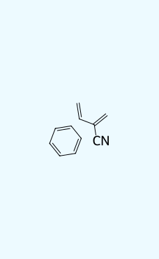 C=CC(=C)C#N.c1ccccc1